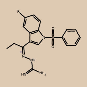 CC/C(=N/NC(=N)N)c1cn(S(=O)(=O)c2ccccc2)c2ccc(F)cc12